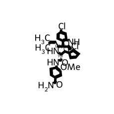 COc1cc(C(N)=O)ccc1NC(=O)[C@@H]1N[C@@H](C=C(C)C)[C@@]2(C(=O)Nc3cc(Cl)ccc32)C1C1C=CC=C1Cl